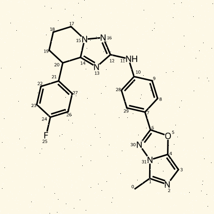 Cc1ncc2oc(-c3ccc(Nc4nc5n(n4)CCCC5c4ccc(F)cc4)cc3)nn12